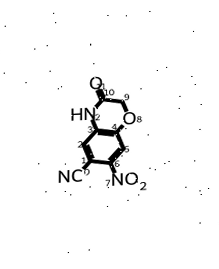 N#Cc1cc2c(cc1[N+](=O)[O-])OCC(=O)N2